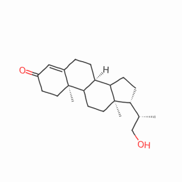 C[C@H](CO)[C@H]1CCC2[C@@H]3CCC4=CC(=O)CC[C@]4(C)C3CC[C@@]21C